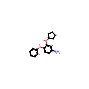 Nc1ccc(Oc2ccccc2)c(OC2CCCC2)c1